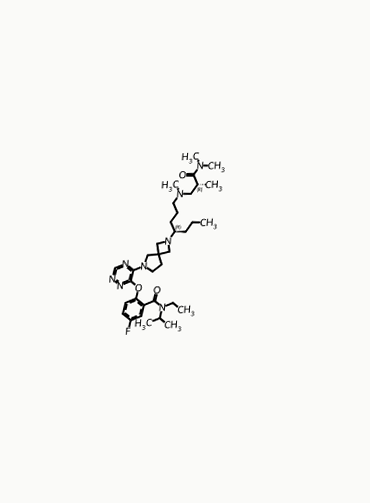 CCC[C@H](CCCN(C)C[C@@H](C)C(=O)N(C)C)N1CC2(CCN(c3ncnnc3Oc3ccc(F)cc3C(=O)N(CC)C(C)C)C2)C1